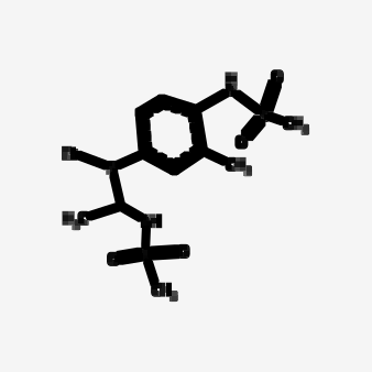 CCN(c1ccc(NS(C)(=O)=O)c(C)c1)C(C)NS(C)(=O)=O